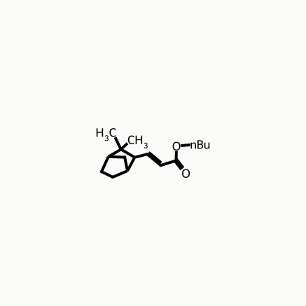 CCCCOC(=O)C=CC1C2CCC(C2)C1(C)C